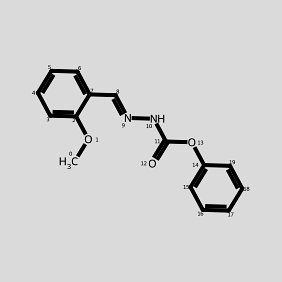 COc1ccccc1C=NNC(=O)Oc1ccccc1